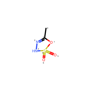 CC1=NNS(=O)(=O)O1